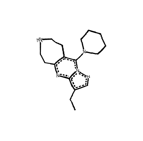 CCc1cnn2c(N3CCCCC3)c3c(nc12)CCNCC3